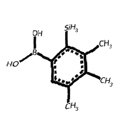 Cc1cc(B(O)O)c([SiH3])c(C)c1C